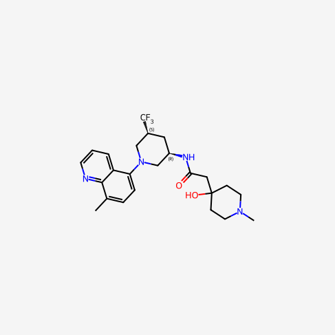 Cc1ccc(N2C[C@H](NC(=O)CC3(O)CCN(C)CC3)C[C@H](C(F)(F)F)C2)c2cccnc12